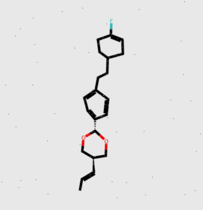 C/C=C/[C@H]1CO[C@H](c2ccc(CCC3CC=C(F)CC3)cc2)OC1